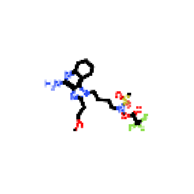 COCCc1nc2c(N)nc3c(c2n1CCCCN(OC(=O)C(F)(F)F)S(C)(=O)=O)CCCC3